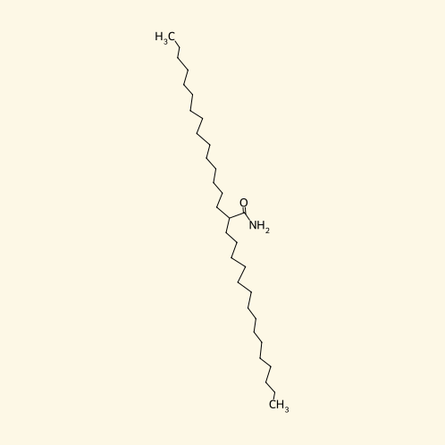 CCCCCCCCCCCCCCCC(CCCCCCCCCCCCCCC)C(N)=O